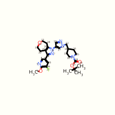 COc1ncc(-c2nn(-c3cnn(CC4CCN(C(=O)OC(C)(C)C)CC4)c3)c3c2CCOCC3)cc1F